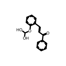 O=C(C=Cc1ccccc1OC(O)O)c1ccccc1